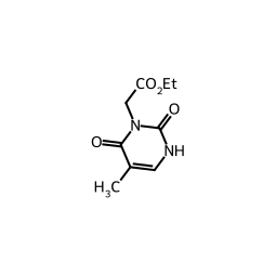 CCOC(=O)Cn1c(=O)[nH]cc(C)c1=O